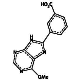 COc1ncnc2[nH]c(-c3cccc(C(=O)O)c3)nc12